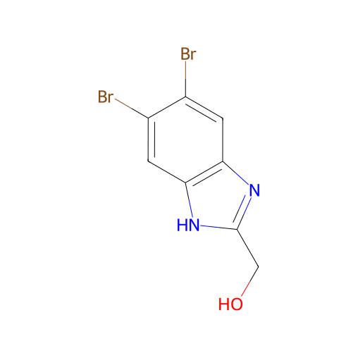 OCc1nc2cc(Br)c(Br)cc2[nH]1